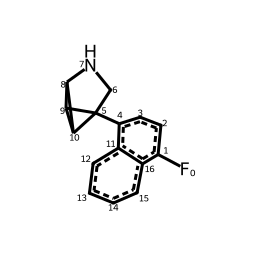 Fc1ccc(C23CNC4C2C43)c2ccccc12